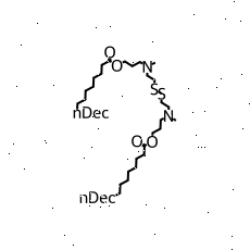 CCCCCCCCCCCCCCCCCC(=O)OCCCN(C)CCSSCCN(C)CCCOC(=O)CCCCCCCCCCCCCCCCC